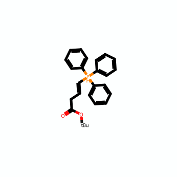 CC(C)(C)OC(=O)CC=C[PH](c1ccccc1)(c1ccccc1)c1ccccc1